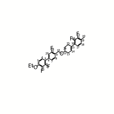 CCOc1ccc(-c2ccc(COC3CC=C(c4ccc(C)c(F)c4F)CC3)c(F)c2)c(F)c1F